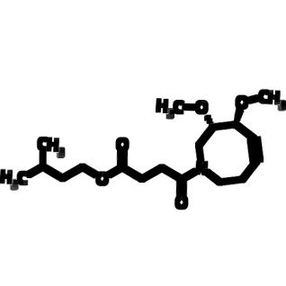 CO[C@H]1C#CCCN(C(=O)CCC(=O)OCCC(C)C)C[C@@H]1OC